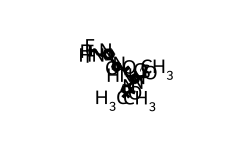 CC1(C)CCN(c2nn(CS(C)(=O)=O)cc2NC(=O)c2coc(-c3ccnc(NCC(F)(F)F)c3)n2)C1=O